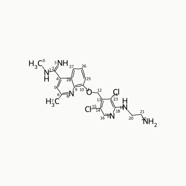 CNC(=N)c1cc(C)nc2c(OCc3c(Cl)cnc(NCCN)c3Cl)cccc12